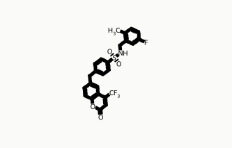 Cc1ccc(F)cc1CNS(=O)(=O)c1ccc(Cc2ccc3oc(=O)cc(C(F)(F)F)c3c2)cc1